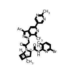 CC(=O)c1nn(CC(=O)N2[C@H](C(=O)Nc3nc(Br)ccc3C)C[C@@]3(C)C=C[C@@H]23)c2c(C(F)(F)F)nc(-c3cnc(C)nc3)cc12